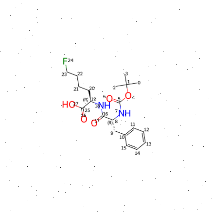 CC(C)(C)OC(=O)N[C@H](Cc1ccccc1)C(=O)N[C@H](CCCCF)C(=O)O